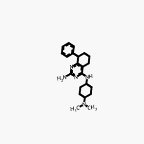 CN(C)C1CCC(Nc2nc(N)nc3c2CCCC3c2ccccc2)CC1